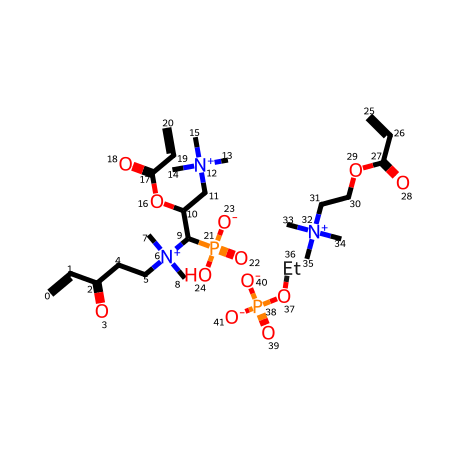 C=CC(=O)CC[N+](C)(C)C(C(C[N+](C)(C)C)OC(=O)C=C)P(=O)([O-])O.C=CC(=O)OCC[N+](C)(C)C.CCOP(=O)([O-])[O-]